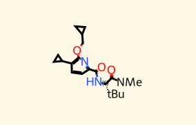 CNC(=O)[C@@H](NC(=O)c1ccc(C2CC2)c(OCC2CC2)n1)C(C)(C)C